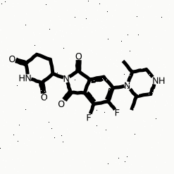 CC1CNCC(C)N1c1cc2c(c(F)c1F)C(=O)N(C1CCC(=O)NC1=O)C2=O